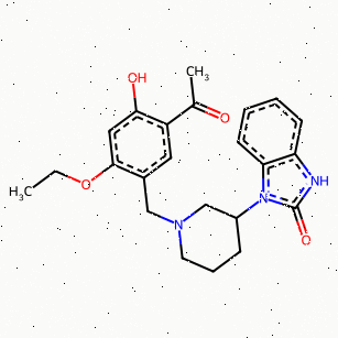 CCOc1cc(O)c(C(C)=O)cc1CN1CCCC(n2c(=O)[nH]c3ccccc32)C1